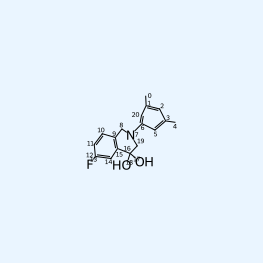 Cc1cc(C)cc(N2Cc3ccc(F)cc3C(O)(O)C2)c1